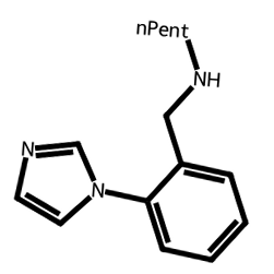 CCCCCNCc1ccccc1-n1ccnc1